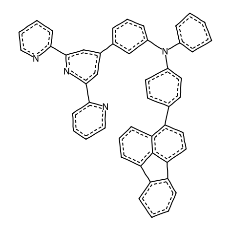 c1ccc(N(c2ccc(-c3ccc4c5c(cccc35)-c3ccccc3-4)cc2)c2cccc(-c3cc(-c4ccccn4)nc(-c4ccccn4)c3)c2)cc1